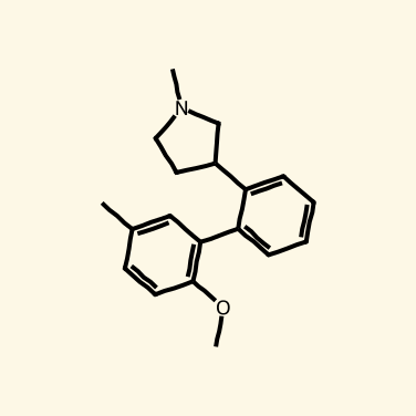 COc1ccc(C)cc1-c1ccccc1C1CCN(C)C1